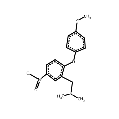 CSc1ccc(Oc2ccc([N+](=O)[O-])cc2CN(C)C)cc1